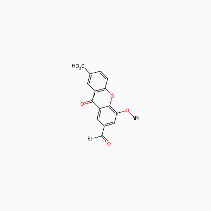 CCC(=O)c1cc(OC(C)C)c2oc3ccc(C(=O)O)cc3c(=O)c2c1